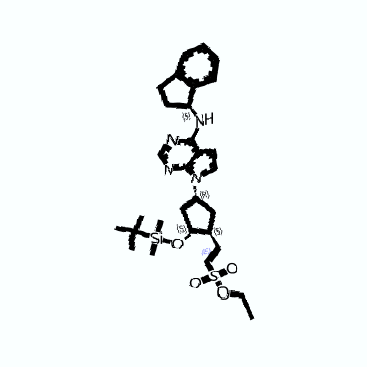 CCOS(=O)(=O)/C=C/[C@@H]1C[C@@H](n2ccc3c(N[C@H]4CCc5ccccc54)ncnc32)C[C@@H]1O[Si](C)(C)C(C)(C)C